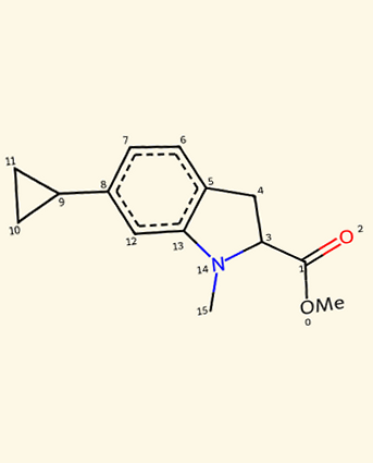 COC(=O)C1Cc2ccc(C3CC3)cc2N1C